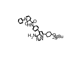 CC(C)(C)[Si](C)(C)OC1CCC(c2cc(-c3ccc(NC(=O)c4cccn(-c5ccccc5)c4=O)cc3)c3c(N)ncnn23)CC1